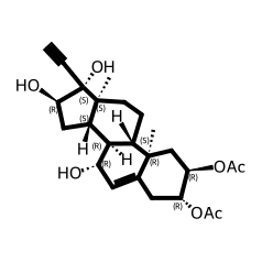 C#C[C@]1(O)[C@H](O)C[C@H]2[C@@H]3[C@@H](O)C=C4C[C@@H](OC(C)=O)[C@H](OC(C)=O)C[C@]4(C)[C@H]3CC[C@@]21C